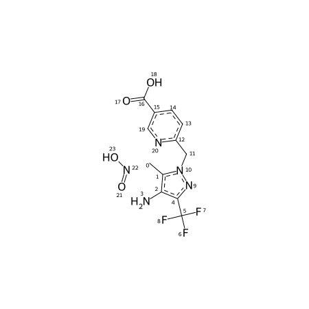 Cc1c(N)c(C(F)(F)F)nn1Cc1ccc(C(=O)O)cn1.O=NO